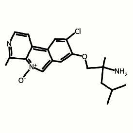 Cc1nccc2c3cc(Cl)c(OCC(C)(N)CC(C)C)cc3c[n+]([O-])c12